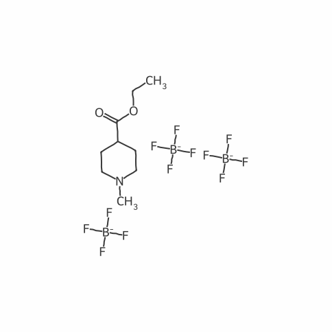 CCOC(=O)C1CCN(C)CC1.F[B-](F)(F)F.F[B-](F)(F)F.F[B-](F)(F)F